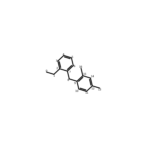 CCc1ccccc1Cc1ccc(C)cc1C